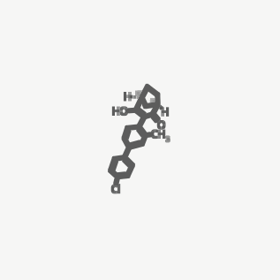 Cc1cc(-c2ccc(Cl)cc2)ccc1C1=C(O)[C@H]2CC[C@H](C2)C1=O